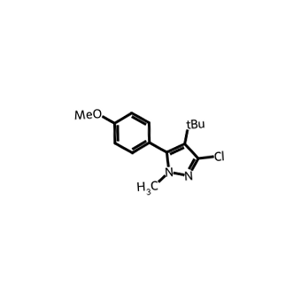 COc1ccc(-c2c(C(C)(C)C)c(Cl)nn2C)cc1